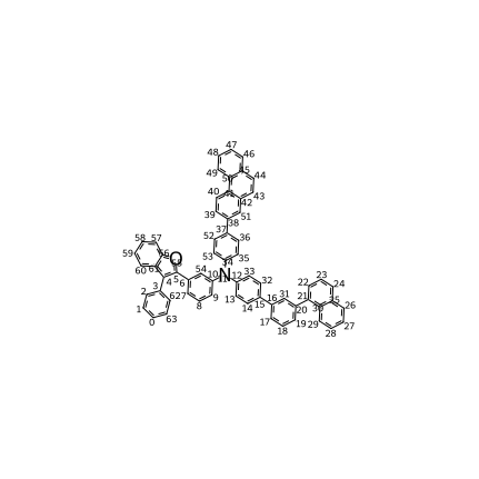 c1ccc(-c2c(-c3cccc(N(c4ccc(-c5cccc(-c6cccc7ccccc67)c5)cc4)c4ccc(-c5ccc6c(ccc7ccccc76)c5)cc4)c3)oc3ccccc23)cc1